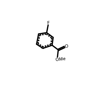 COC(=O)c1[c]ccc(F)c1